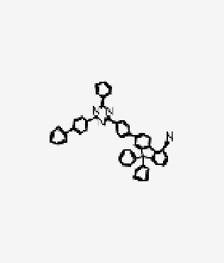 N#Cc1cccc2c1-c1ccc(-c3ccc(-c4nc(-c5ccccc5)nc(-c5ccc(-c6ccccc6)cc5)n4)cc3)cc1C2(c1ccccc1)c1ccccc1